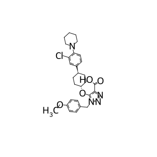 COc1ccc(Cn2nnc(C(=O)O)c2O[C@H]2CC[C@H](c3ccc(N4CCCCC4)c(Cl)c3)CC2)cc1